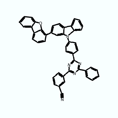 N#Cc1cccc(-c2nc(-c3ccccc3)nc(-c3ccc(-n4c5ccccc5c5ccc(-c6cccc7c6oc6ccccc67)cc54)cc3)n2)c1